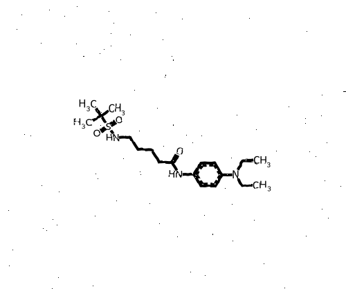 CCN(CC)c1ccc(NC(=O)CCCCNS(=O)(=O)C(C)(C)C)cc1